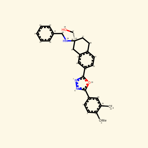 COc1ccc(-c2nnc(-c3ccc4c(c3)C[C@@](CO)(NCc3ccccc3)CC4)o2)cc1C(F)(F)F